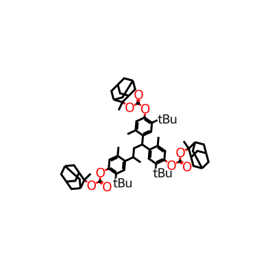 Cc1cc(OC(=O)OC2(C)C3CC4CC(C3)CC2C4)c(C(C)(C)C)cc1C(C)CC(c1cc(C(C)(C)C)c(OC(=O)OC2(C)C3CC4CC(C3)CC2C4)cc1C)c1cc(C(C)(C)C)c(OC(=O)OC2(C)C3CC4CC(C3)CC2C4)cc1C